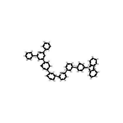 c1ccc(-c2cc(-c3ccc(-c4cccc(-c5cccc(-c6cccc(-c7ccc(-n8c9ccccc9c9ccccc98)cc7)c6)n5)c4)cc3)cc(-c3ccccc3)n2)cc1